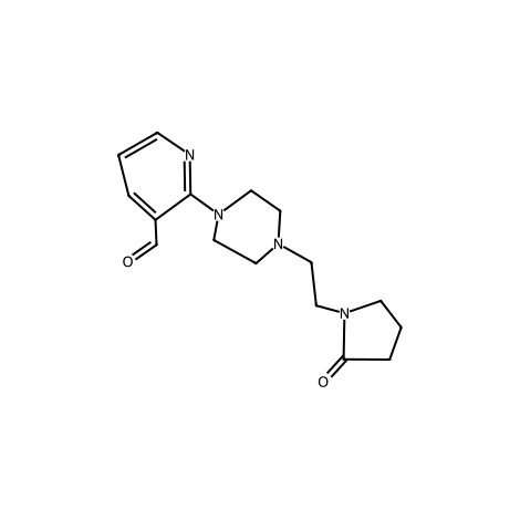 O=Cc1cccnc1N1CCN(CCN2CCCC2=O)CC1